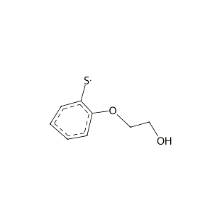 OCCOc1ccccc1[S]